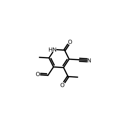 CC(=O)c1c(C=O)c(C)[nH]c(=O)c1C#N